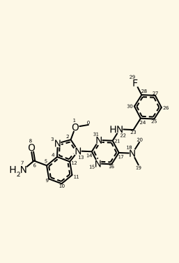 COc1nc2c(C(N)=O)cccc2n1-c1ncc(N(C)C)c(NCc2cccc(F)c2)n1